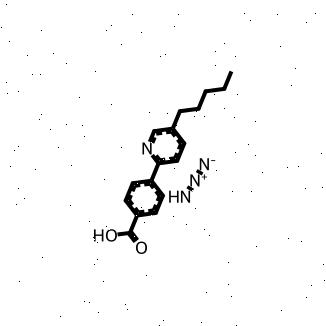 CCCCCc1ccc(-c2ccc(C(=O)O)cc2)nc1.[N-]=[N+]=N